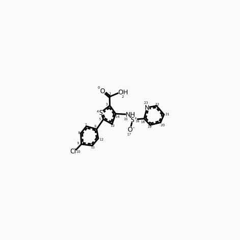 O=C(O)c1sc(-c2ccc(Cl)cc2)cc1N[S+]([O-])c1ccccn1